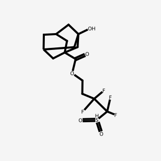 O=C(OCCC(F)(F)C(F)(F)[SH](=O)=O)C12CC3CC(CC(O)(C3)C1)C2